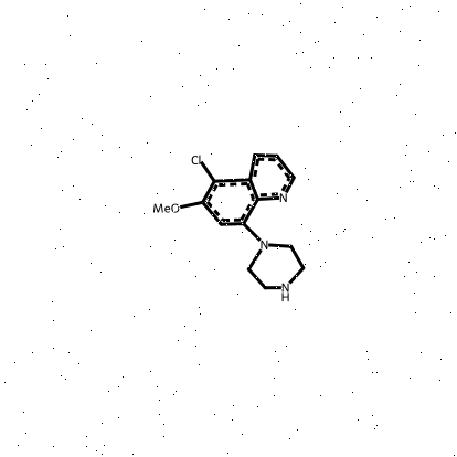 COc1cc(N2CCNCC2)c2ncccc2c1Cl